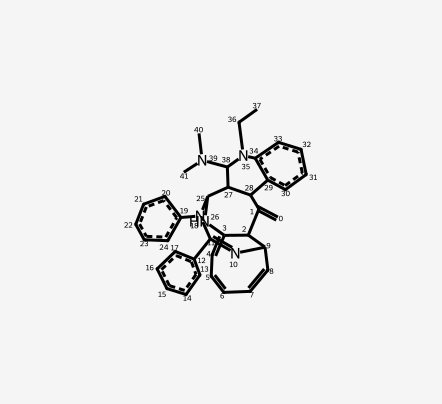 C=C1C2\C3=C/C=C\C=C/C2/N=C(/c2ccccc2)N(c2ccccc2)C(N3)C2C1c1ccccc1N(CC)C2N(C)C